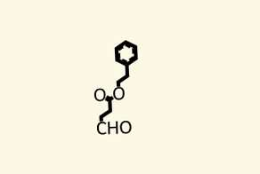 O=CCCC(=O)OCCc1ccccc1